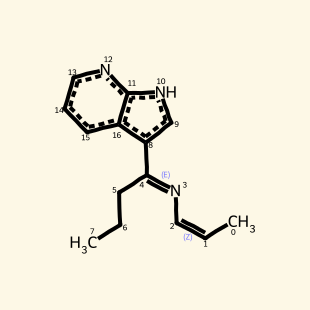 C/C=C\N=C(/CCC)c1c[nH]c2ncccc12